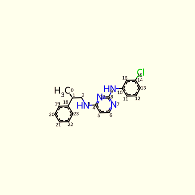 C[C@@H](CNc1ccnc(Nc2cccc(Cl)c2)n1)c1ccccc1